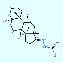 C[C@]12CCCC[C@H]1CC[C@@H]1[C@@H]2CC[C@]2(C)C(=NNC(=N)N)CC[C@@H]12